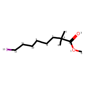 COC(=O)C(C)(C)CCCCCCI